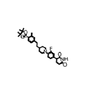 Cc1cc(CCC2CCN(c3ccc(C4CCC(=O)NC4=O)cc3F)CC2)ccc1B1OC(C)(C)C(C)(C)O1